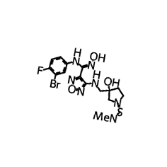 CNSN1CC[C@@](O)(CNc2nonc2/C(=N/O)Nc2ccc(F)c(Br)c2)C1